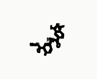 CNC(=O)c1cc(NC(=O)c2ccc3c(c2)c(I)nn3C)ccc1C